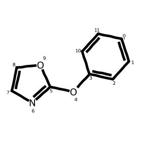 [c]1ccc(Oc2ncco2)cc1